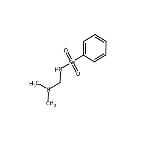 CN(C)CN[Se](=O)(=O)c1ccccc1